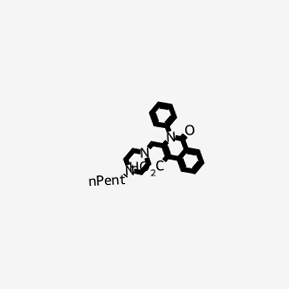 CCCCCN1CCN(Cc2c(C(=O)O)c3ccccc3c(=O)n2-c2ccccc2)CC1